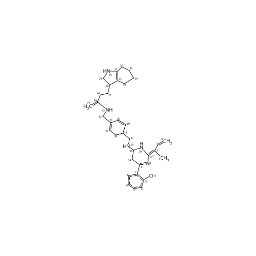 C=C/C(C)=C1/N=C(c2ccccc2Cl)CC(NCC2C=CC(CNC(=C)CCC3CNC4=C3CCCC4)=CC2)N1